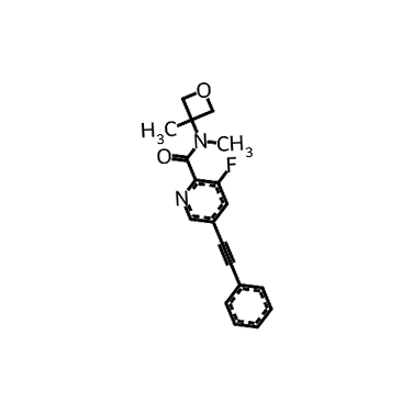 CN(C(=O)c1ncc(C#Cc2ccccc2)cc1F)C1(C)COC1